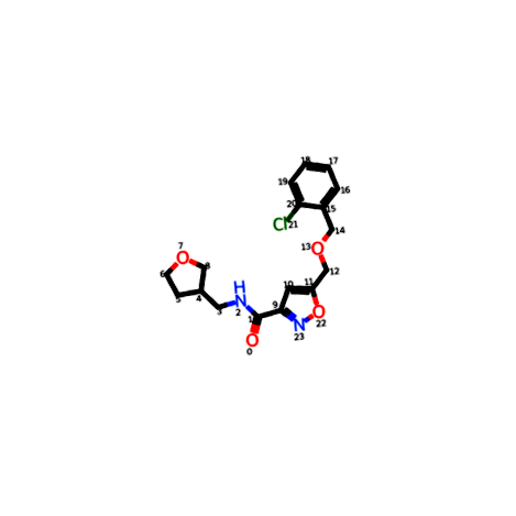 O=C(NCC1CCOC1)c1cc(COCc2ccccc2Cl)on1